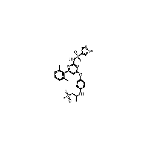 Cc1cccc(C)c1-c1cc(Oc2ccc(NC(C)CS(C)(=O)=O)cc2)nc(NS(=O)(=O)c2cnn(C)c2)n1